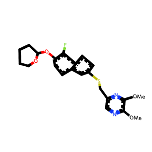 COc1ncc(CSc2ccc3c(F)c(OC4CCCCO4)ccc3c2)nc1OC